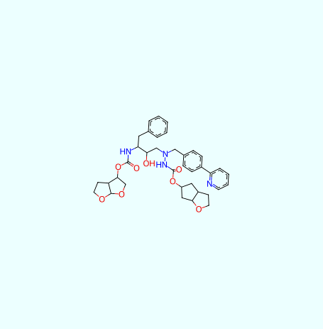 O=C(NN(Cc1ccc(-c2ccccn2)cc1)CC(O)C(Cc1ccccc1)NC(=O)OC1COC2OCCC12)OC1CC2CCOC2C1